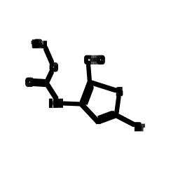 CC(C)(C)OC(=O)Nc1cc(Br)sc1C=O